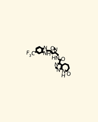 O=C1CCCc2c(ncnc2C(=O)NCc2cc(-c3nc4ccc(C(F)(F)F)cc4[nH]3)on2)N1